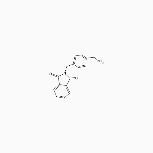 NCc1ccc(CN2C(=O)c3ccccc3C2=O)cc1